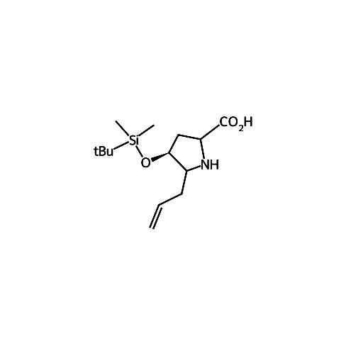 C=CCC1NC(C(=O)O)C[C@@H]1O[Si](C)(C)C(C)(C)C